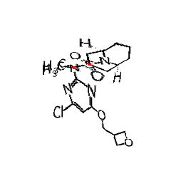 CCS(=O)(=O)N1[C@@H]2CCC[C@H]1C[C@H](N(C)c1nc(Cl)cc(OCC3COC3)n1)C2